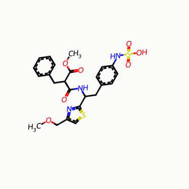 COCc1csc(C(Cc2ccc(NS(=O)(=O)O)cc2)NC(=O)C(Cc2ccccc2)C(=O)OC)n1